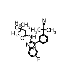 CC(C)(C)CC(=O)Nc1nc2ccc(F)cn2c1-c1cccc(C(C)(C)C#N)c1